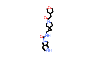 O=C(NCC1CC12CCN(C(=O)CC1CCOCC1)CC2)N1C=C2C=CNC=C2C1